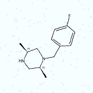 C[C@H]1CN(Cc2ccc(F)cc2)[C@@H](C)CN1